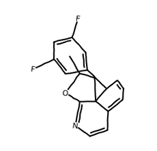 CC1CC23C(=CC=CC2c2cc(F)cc(F)c2)C=CN=C3O1